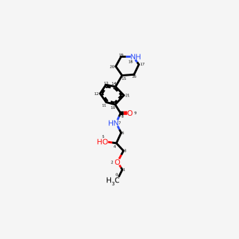 CCOCC(O)CNC(=O)c1cccc(C2CCNCC2)c1